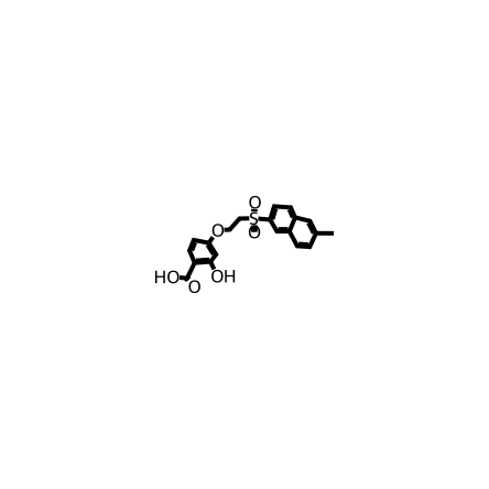 Cc1ccc2cc(S(=O)(=O)CCOc3ccc(C(=O)O)c(O)c3)ccc2c1